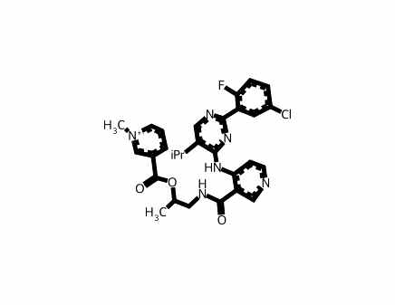 CC(CNC(=O)c1cnccc1Nc1nc(-c2cc(Cl)ccc2F)ncc1C(C)C)OC(=O)c1ccc[n+](C)c1